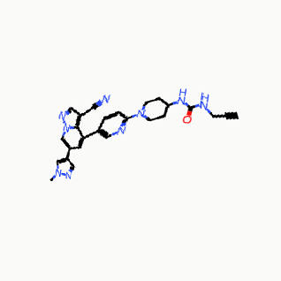 C#CCNC(=O)NC1CCN(c2ccc(-c3cc(-c4cnn(C)c4)cn4ncc(C#N)c34)cn2)CC1